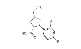 CCN1C[C@@H](C(=O)O)[C@H](c2ccc(F)cc2F)C1